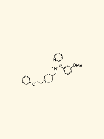 COc1cccc([C@@H](c2ccccn2)N(C)CC2CCN(CCOc3ccccc3)CC2)c1